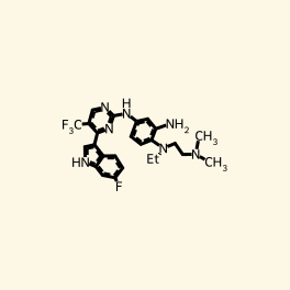 CCN(CCN(C)C)c1ccc(Nc2ncc(C(F)(F)F)c(-c3c[nH]c4cc(F)ccc34)n2)cc1N